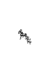 C[C@@H](CC(=N)C(=O)Nc1cc(Oc2ccc([N+](=O)[O-])cc2F)ncn1)CN(C)C